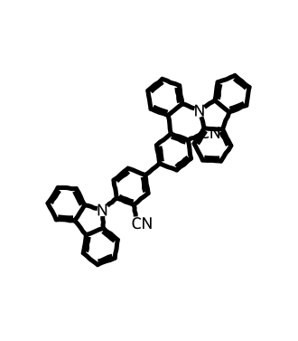 N#Cc1ccc(-c2ccc(-n3c4ccccc4c4ccccc43)c(C#N)c2)cc1-c1ccccc1-n1c2ccccc2c2ccccc21